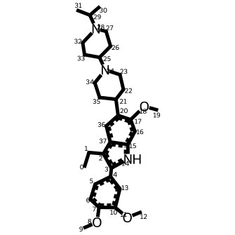 CCc1c(-c2ccc(OC)c(OC)c2)[nH]c2cc(OC)c(C3CCN(C4CCN(C(C)C)CC4)CC3)cc12